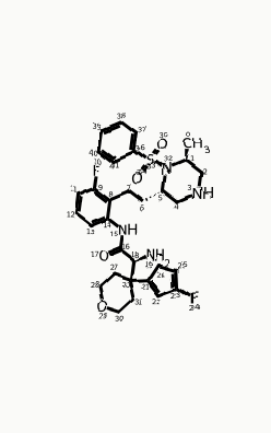 C[C@H]1CNC[C@H](CCc2c(F)cccc2NC(=O)[C@@H](N)C2(C3=CC(F)=CC3)CCOCC2)N1S(=O)(=O)c1ccccc1